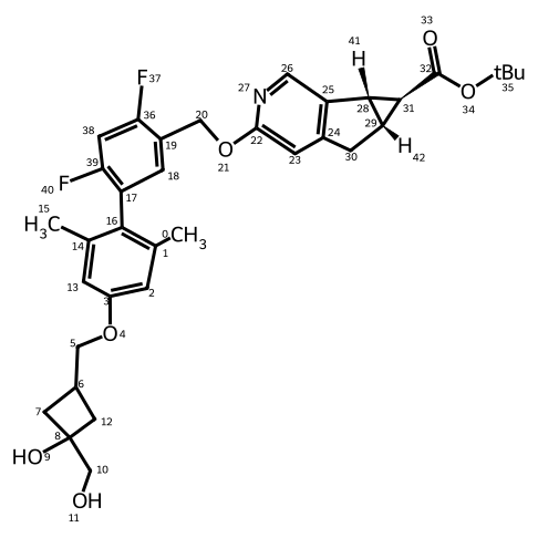 Cc1cc(OCC2CC(O)(CO)C2)cc(C)c1-c1cc(COc2cc3c(cn2)[C@H]2[C@@H](C3)[C@@H]2C(=O)OC(C)(C)C)c(F)cc1F